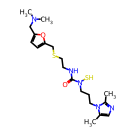 Cc1cnc(C)n1CCCN(S)C(=O)NCCSCc1ccc(CN(C)C)o1